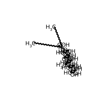 CCCCCCCCCCCCC/C=C/[C@@H](O)[C@H](CO[C@@H]1OC(CO)[C@@H](O[C@@H]2OC(CO)[C@H](O[C@@H]3OC(CO)[C@H](O)[C@H](O[C@@H]4OC(CO)[C@H](O)[C@H](O[C@H]5OC(CO)[C@H](O)[C@H](O)C5O)C4O)C3NC(C)=O)[C@H](O)C2O)[C@H](O)C1O)NC(=O)CCCCCCCCCCCCCCCCCCC